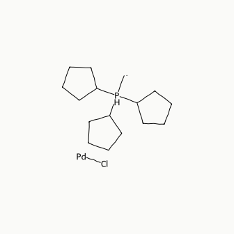 [CH2][PH](C1CCCC1)(C1CCCC1)C1CCCC1.[Cl][Pd]